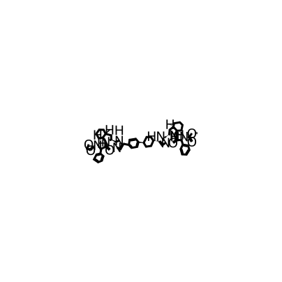 COC(=O)N[C@@H](C(=O)N1[C@@H]2CCCC[C@@H]2C[C@H]1c1ncc([C@H]2CC[C@H](c3ccc(-c4cnc([C@@H]5C[C@H]6CCCC[C@H]6N5C(=O)[C@H](NC5OCO5)c5ccccc5)[nH]4)cc3)CC2)[nH]1)c1ccccc1